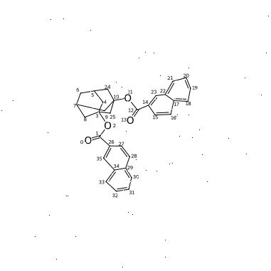 O=C(OC12CC3CC(C1)CC(OC(=O)c1ccc4ccccc4c1)(C3)C2)c1ccc2ccccc2c1